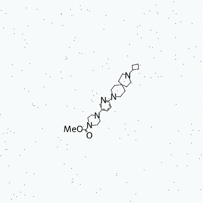 COC(=O)N1CCN(c2ccc(N3CCC4(CC3)CCN(C3CCC3)CC4)nc2)CC1